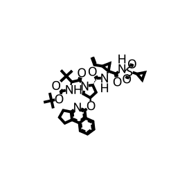 C=CC1C[C@]1(NC(=O)[C@@H]1C[C@@H](Oc2nc3c(c4ccccc24)CCC3)CN1C(=O)[C@@H](NC(=O)OC(C)(C)C)C(C)(C)C)C(=O)NS(=O)(=O)C1CC1